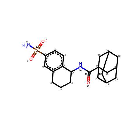 NS(=O)(=O)c1ccc2c(c1)CCCC2NC(=O)C12CC3CC(CC(C3)C1)C2